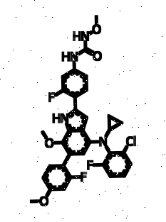 CONC(=O)Nc1ccc(-c2cc3c(N(c4c(F)cccc4Cl)C4CC4)cc(-c4ccc(OC)cc4F)c(OC)c3[nH]2)c(F)c1